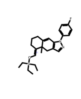 CC[Si](CC)(CC)O/C=C1\CCCC2=Cc3c(cnn3-c3ccc(F)cc3)CC21C